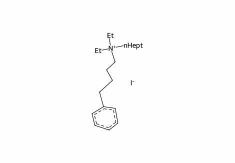 CCCCCCC[N+](CC)(CC)CCCCc1ccccc1.[I-]